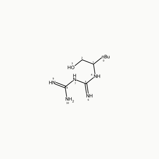 CCCCC(CO)NC(=N)NC(=N)N